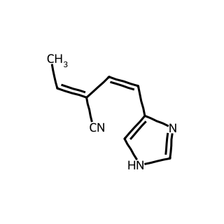 C/C=C(C#N)\C=C/c1c[nH]cn1